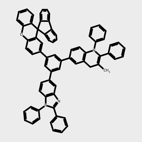 CC1=C(c2ccccc2)N(c2ccccc2)c2ccc(-c3cc(-c4ccc5c(c4)C4(c6ccccc6O5)c5ccccc5-c5ccccc54)cc(-c4ccc5c(c4)nc(-c4ccccc4)n5-c4ccccc4)c3)cc2C1